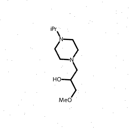 COCC(O)CN1CCN(C(C)C)CC1